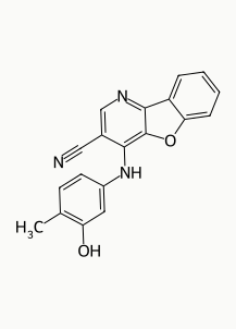 Cc1ccc(Nc2c(C#N)cnc3c2oc2ccccc23)cc1O